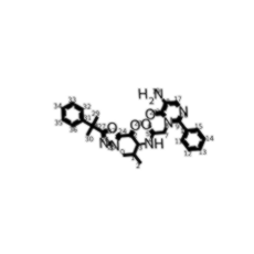 CC(C)[C@H](NC(=O)Cn1c(-c2ccccc2)ncc(N)c1=O)C(=O)c1nnc(C(C)(C)c2ccccc2)o1